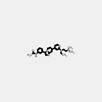 CCN(CCN(C)C)c1cc(-c2ccn3c(-c4cccc(NC(C)=O)c4)cnc3c2)ccn1